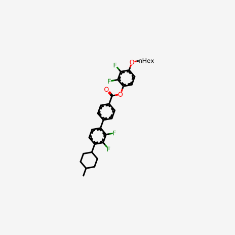 CCCCCCOc1ccc(OC(=O)c2ccc(-c3ccc(C4CCC(C)CC4)c(F)c3F)cc2)c(F)c1F